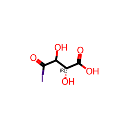 O=C(I)C(O)[C@@H](O)C(=O)O